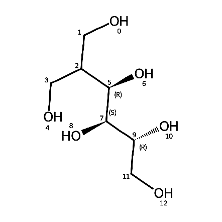 OCC(CO)[C@@H](O)[C@H](O)[C@H](O)CO